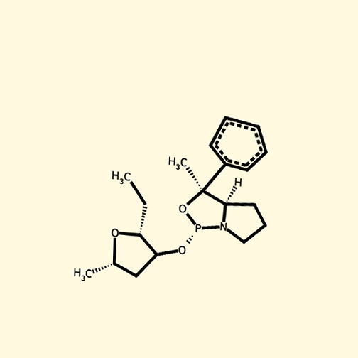 CC[C@H]1O[C@@H](C)CC1O[P@]1O[C@@](C)(c2ccccc2)[C@H]2CCCN21